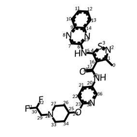 Cc1nsc(Nc2cnc3ccccc3n2)c1C(=O)Nc1ccc(OC2CCN(CC(F)F)CC2)nc1